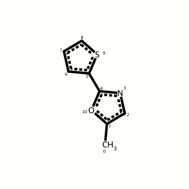 Cc1[c]nc(-c2cccs2)o1